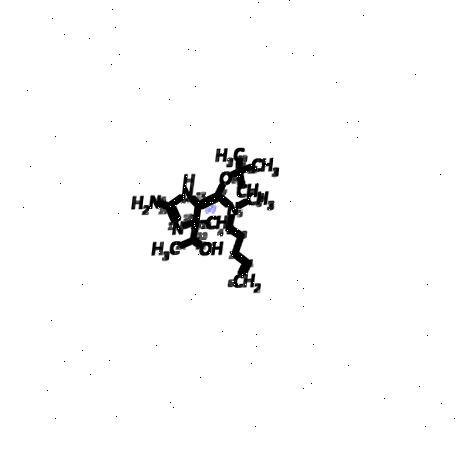 C=CCCCN(C)/C(OC(C)(C)C)=C1/NC(N)=N[C@]1(C)C(C)O